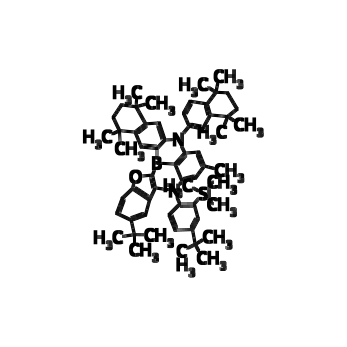 Cc1cc2c3c(c1)N(c1ccc(C(C)(C)C)cc1[Si](C)(C)C)c1c(oc4ccc(C(C)(C)C)cc14)B3c1cc3c(cc1N2c1ccc2c(c1)C(C)(C)CCC2(C)C)C(C)(C)CCC3(C)C